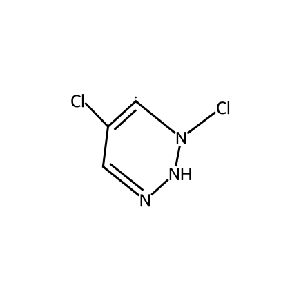 ClC1=[C]N(Cl)NN=C1